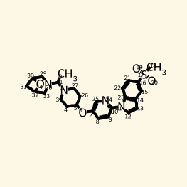 CC(N1CCC(Oc2ccc(-n3ccc4cc(S(C)(=O)=O)ccc43)nc2)CC1)N1CC2CC(C1)O2